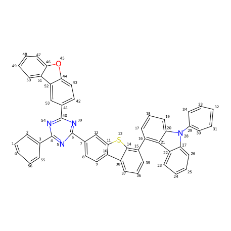 c1ccc(-c2nc(-c3ccc4c(c3)sc3c(-c5cccc6c5c5ccccc5n6-c5ccccc5)cccc34)nc(-c3ccc4oc5ccccc5c4c3)n2)cc1